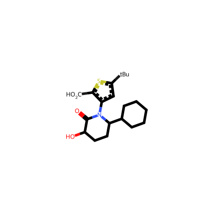 CC(C)(C)c1cc(N2C(=O)C(O)CCC2C2CCCCC2)c(C(=O)O)s1